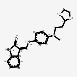 CN(CCC1OCCO1)c1ccc(NC=C2C(=O)Nc3ccccc32)cc1